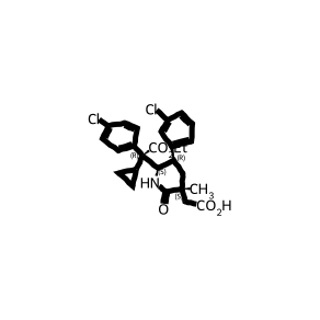 CCOC(=O)[C@@](c1ccc(Cl)cc1)(C1CC1)[C@H]1NC(=O)[C@](C)(CC(=O)O)C[C@@H]1c1cccc(Cl)c1